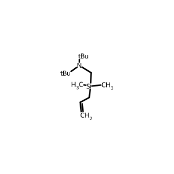 C=CC[Si](C)(C)CN(C(C)(C)C)C(C)(C)C